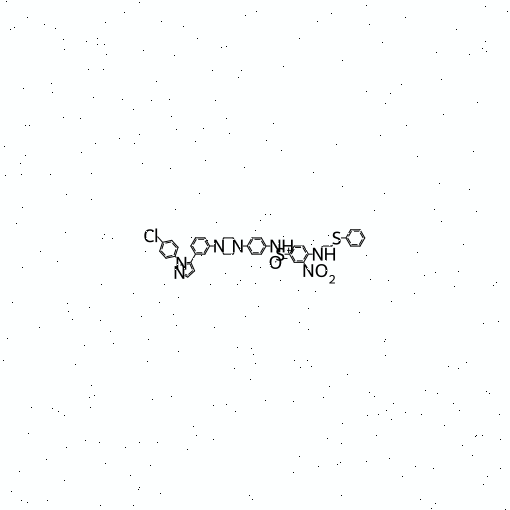 O=[N+]([O-])c1cc([S+]([O-])Nc2ccc(N3CCN(c4cccc(-c5ccnn5-c5ccc(Cl)cc5)c4)CC3)cc2)ccc1NCCSc1ccccc1